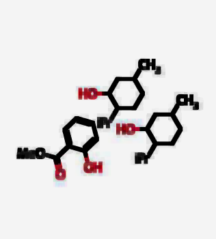 CC1CCC(C(C)C)C(O)C1.CC1CCC(C(C)C)C(O)C1.COC(=O)c1ccccc1O